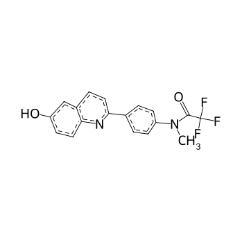 CN(C(=O)C(F)(F)F)c1ccc(-c2ccc3cc(O)ccc3n2)cc1